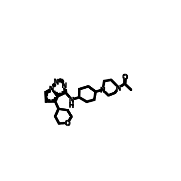 CC(=O)N1CCN(C2CCC(Nc3ncnn4ccc(C5CCOCC5)c34)CC2)CC1